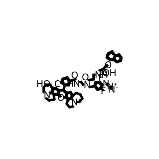 [N-]=[N+]=Nc1c(F)cc(CN(CCNC(=O)c2ccc(C(=O)O)c(C3=c4cc5c6c(c4Oc4c3cc3c7c4CCCN7CCCC3)CCC[N+]=6CCCC5)c2)C(=O)CCNC[C@H](O)COc2cccc3ccccc23)cc1F